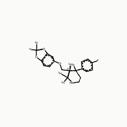 [2H]C1([2H])Oc2ccc(OC[C@@]3([2H])C([2H])([2H])NCCC3([2H])c3ccc(F)cc3)cc2O1